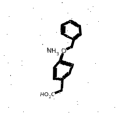 N.O=C(O)Cc1ccc(OCc2ccccc2)cc1